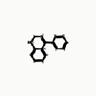 c1ccc(C2=NCNc3ccccc32)cc1